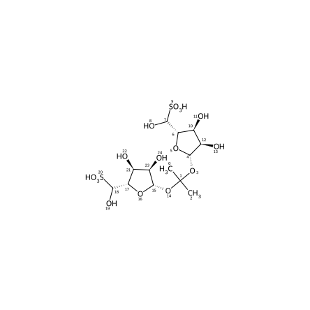 CC(C)(O[C@@H]1O[C@H](C(O)S(=O)(=O)O)[C@@H](O)[C@H]1O)O[C@@H]1O[C@H](C(O)S(=O)(=O)O)[C@@H](O)[C@H]1O